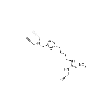 C#CCN/C(=C/[N+](=O)[O-])NCCSCc1ccc(CN(CC#C)CC#C)o1